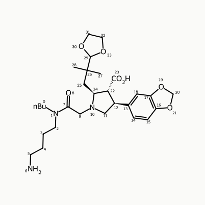 CCCCN(CCCCN)C(=O)CN1C[C@H](c2ccc3c(c2)OCO3)[C@@H](C(=O)O)[C@@H]1CC(C)(C)C1OCCO1